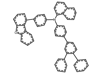 c1ccc(-c2ccc(-c3ccc(N(c4ccc(-c5cccc6oc7ccccc7c56)cc4)c4cccc5ccccc45)cc3)cc2-c2ccccc2)cc1